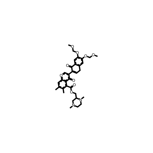 COCOc1cc2c(cc1OCOC)C(=O)C(c1coc3cc(C)c(C)c(C(=O)OCC4CN(C)CCN4C)c3c1=O)=CC2